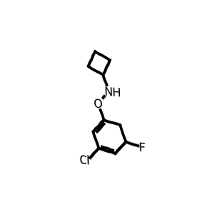 FC1C=C(Cl)C=C(ONC2CCC2)C1